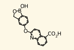 O=C(O)c1cccc2nc(Oc3ccc4c(c3)COB4O)ccc12